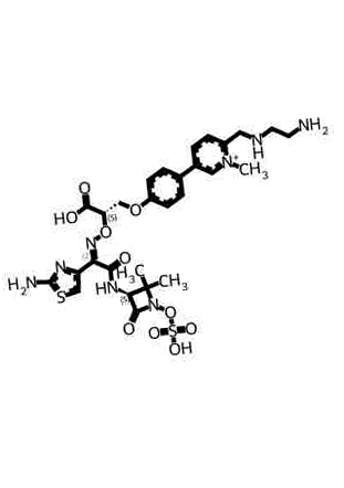 C[n+]1cc(-c2ccc(OC[C@H](O/N=C(\C(=O)N[C@@H]3C(=O)N(OS(=O)(=O)O)C3(C)C)c3csc(N)n3)C(=O)O)cc2)ccc1CNCCN